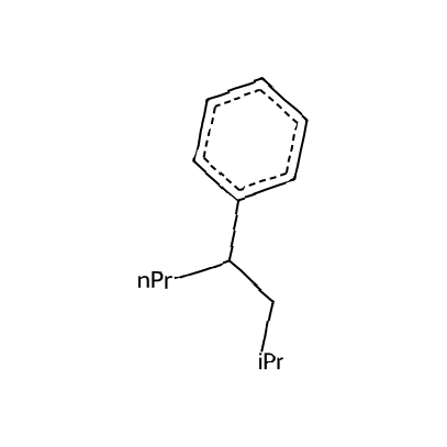 CCCC(CC(C)C)c1ccccc1